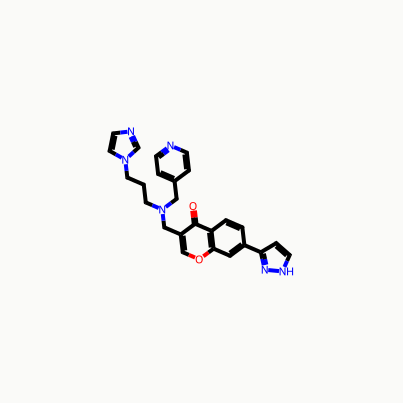 O=c1c(CN(CCCn2ccnc2)Cc2ccncc2)coc2cc(-c3cc[nH]n3)ccc12